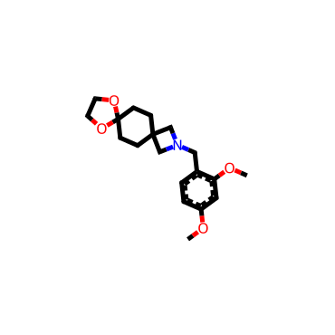 COc1ccc(CN2CC3(CCC4(CC3)OCCO4)C2)c(OC)c1